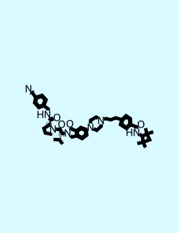 CC(C)[C@H](C(=O)N1CCC[C@H]1C(=O)NCc1ccc(C#N)cc1)N1Cc2ccc(N3CCN(CCCc4ccc(C(=O)NC5C(C)(C)CC5(C)C)cc4)CC3)cc2C1=O